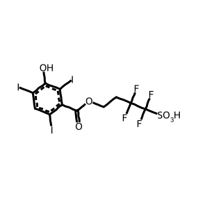 O=C(OCCC(F)(F)C(F)(F)S(=O)(=O)O)c1c(I)cc(I)c(O)c1I